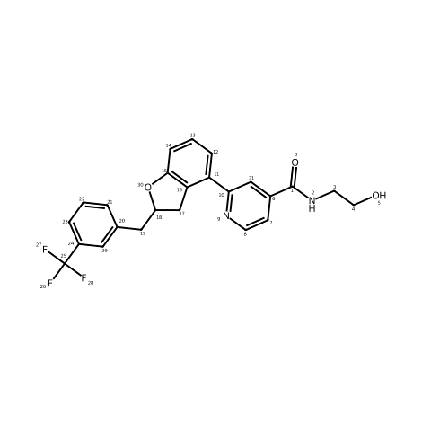 O=C(NCCO)c1ccnc(-c2cccc3c2CC(Cc2cccc(C(F)(F)F)c2)O3)c1